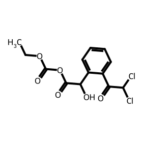 CCOC(=O)OC(=O)C(O)c1ccccc1C(=O)C(Cl)Cl